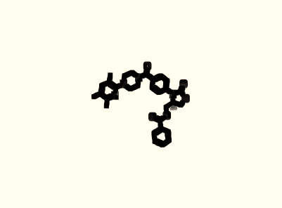 Cc1cc(C)c(N2CCN(C(=O)c3ccc(N4C(=O)OC[C@H]4COC(=O)c4ccccc4)cc3)CC2)nc1C